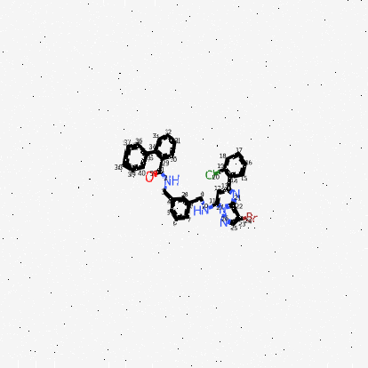 O=C(NCc1cccc(CNc2cc(-c3ccccc3Cl)nc3c(Br)cnn23)c1)c1ccccc1-c1ccccc1